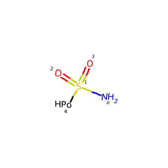 N[S](=O)(=O)[PoH]